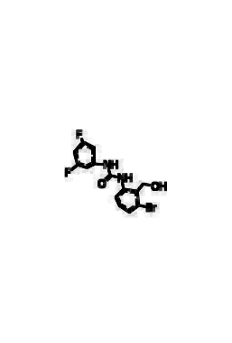 O=C(Nc1cc(F)cc(F)c1)Nc1cccc(Br)c1CO